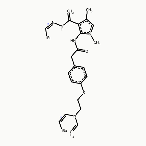 C=CN(/C=C\C(C)CC)CCSc1ccc(CC(=O)Nc2c(C(=C)N/N=C\C(C)CC)c(C)cn2C)cc1